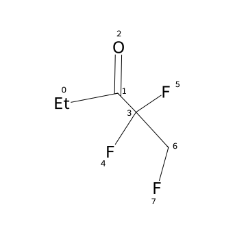 CCC(=O)C(F)(F)CF